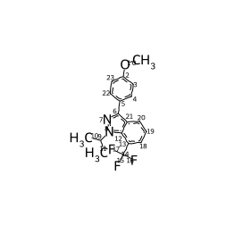 COc1ccc(-c2nn(C(C)C)c3c(C(F)(F)F)cccc23)cc1